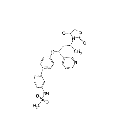 CC(CC(Oc1ccc(-c2cccc(NS(C)(=O)=O)c2)cc1)c1cccnc1)N1C(=O)CSC1=O